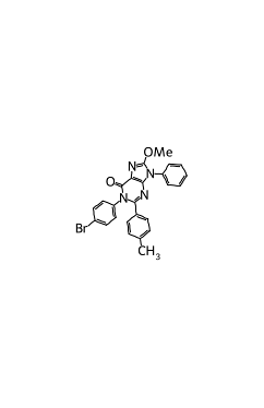 COc1nc2c(=O)n(-c3ccc(Br)cc3)c(-c3ccc(C)cc3)nc2n1-c1ccccc1